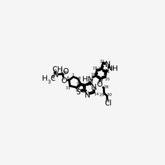 CN(C)C(=O)OC1CCc2c(sc3ncnc(Nc4cc5cn[nH]c5cc4OCCCCl)c23)C1